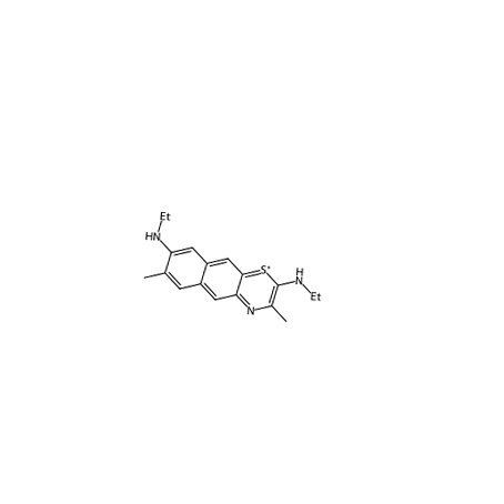 CCNc1cc2cc3[s+]c(NCC)c(C)nc3cc2cc1C